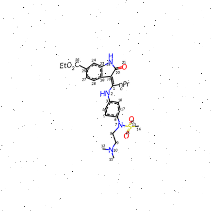 CCCC(Nc1ccc(N(CCN(C)C)S(C)(=O)=O)cc1)=C1C(=O)Nc2cc(C(=O)OCC)ccc21